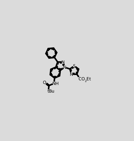 CCOC(=O)c1csc(-n2nc(-c3ccccc3)c3ccc(NC(=O)C(C)(C)C)cc32)n1